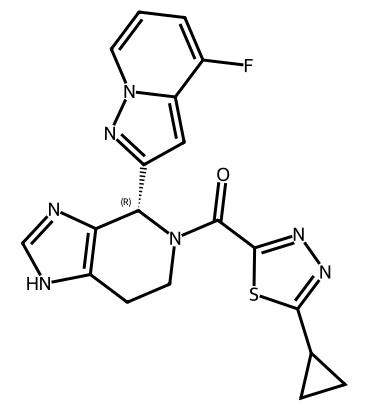 O=C(c1nnc(C2CC2)s1)N1CCc2[nH]cnc2[C@@H]1c1cc2c(F)cccn2n1